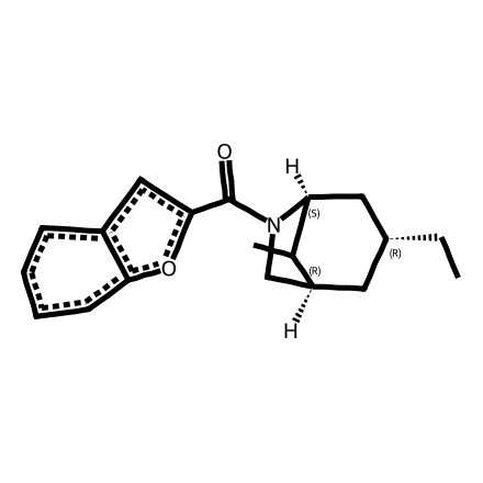 CC[C@@H]1C[C@H]2CN(C(=O)c3cc4ccccc4o3)[C@@H](C1)C2C